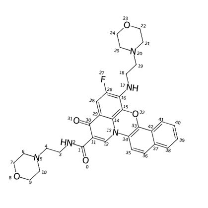 O=C(NCCN1CCOCC1)c1cn2c3c(c(NCCN4CCOCC4)c(F)cc3c1=O)Oc1c-2ccc2ccccc12